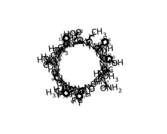 CCCCCN1C(=O)N[C@@H](Cc2c[nH]c3ccccc23)C(=O)N[C@@H](Cc2ccc(O)cc2)C(=O)N[C@@H](CC(C)C)C(=O)N[C@H](C(=O)NCC(N)=O)CSCC(=O)N[C@@H](Cc2cc(F)c(F)c(F)c2)C(=O)N(C)C(Cc2ccc(F)cc2)C(=O)N(C)[C@@H](CCCC)C(=O)N2CCC[C@@H]2C(=O)N[C@@H](CCC(=O)O)C(=O)N[C@@H](C(C)C)C(=O)N(C)C(Cc2ccccc2)C(=O)N[C@@H](CCC(=O)O)C2OC21